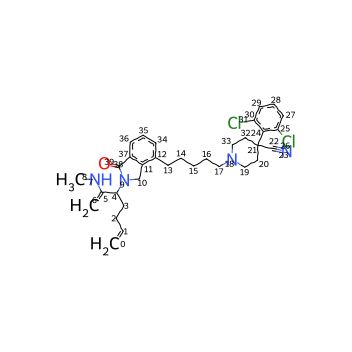 C=CCCC(C(=C)NC)N1Cc2c(CCCCCN3CCC(C#N)(c4c(Cl)cccc4Cl)CC3)cccc2C1=O